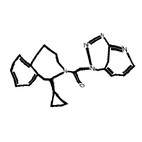 O=C(N1CCc2ccccc2C1C1CC1)n1nnc2ncccc21